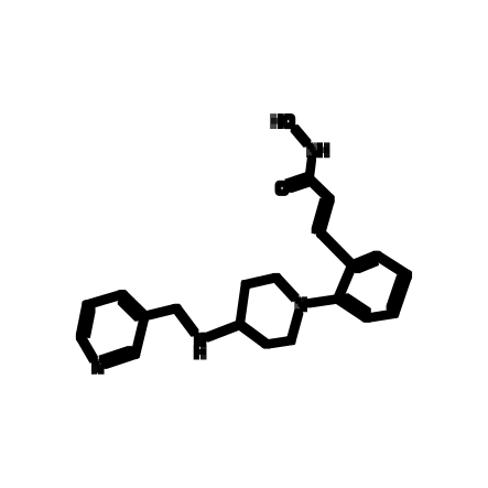 O=C(C=Cc1ccccc1N1CCC(NCc2cccnc2)CC1)NO